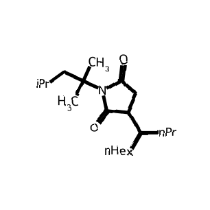 CCCCCCC(CCC)C1CC(=O)N(C(C)(C)CC(C)C)C1=O